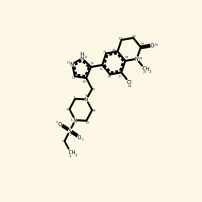 CCS(=O)(=O)N1CCN(Cc2cn[nH]c2-c2cc(Cl)c3c(c2)CCC(=O)N3C)CC1